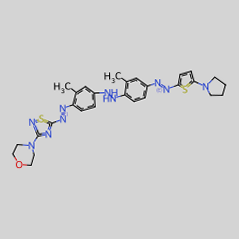 Cc1cc(NNc2ccc(/N=N/c3ccc(N4CCCC4)s3)cc2C)ccc1/N=N/c1nc(N2CCOCC2)ns1